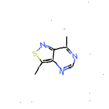 Cc1ncnc2c(C)snc12